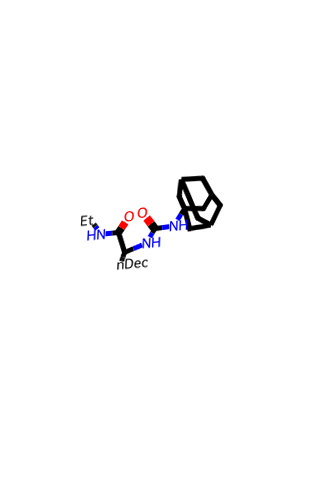 CCCCCCCCCCC(NC(=O)NC12CC3CC(CC(C3)C1)C2)C(=O)NCC